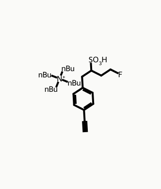 C#Cc1ccc(CC(CCF)S(=O)(=O)O)cc1.CCCC[N+](CCCC)(CCCC)CCCC